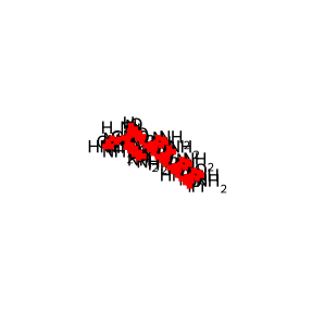 CC(C)C(=O)CN(CCNC(=O)CN(CCNC(=O)CN(CCNC(=O)CN(CCNC(=O)CN(CCNC(=O)CN(CCNC(=O)CN(CCN)C(=O)Cn1ccc(N)nc1=O)C(=O)Cn1cnc2c(=O)[nH]c(N)nc21)C(=O)Cn1ccc(N)nc1=O)C(=O)Cn1cnc2c(N)ncnc21)C(=O)Cn1ccc(N)nc1=O)C(=O)Cn1cnc2c(N)ncnc21)C(=O)Cn1cnc2c(=O)[nH]c(N)nc21